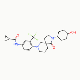 O=C(Nc1ccc(N2CCCC3(CCN([C@H]4CC[C@H](O)CC4)C3=O)C2)c(C(F)(F)F)c1)C1CC1